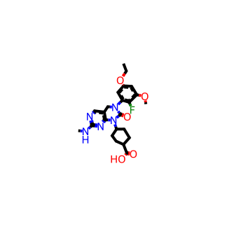 CCOc1cc(OC)c(F)c(N2Cc3cnc(NC)nc3N(C3CCC(C(=O)O)CC3)C2=O)c1